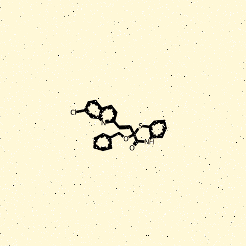 O=C1Nc2ccccc2SC1(C=Cc1ccc2ccc(Cl)cc2n1)OCc1ccccc1